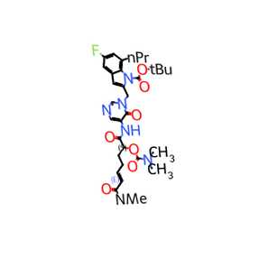 CCCc1cc(F)cc2cc(Cn3cncc(NC(=O)[C@H](CC/C=C/C(=O)NC)OC(=O)N(C)C)c3=O)n(C(=O)OC(C)(C)C)c12